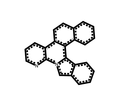 c1ccc2c(c1)ccc1c3cccnc3n3cc4ccccc4c3c21